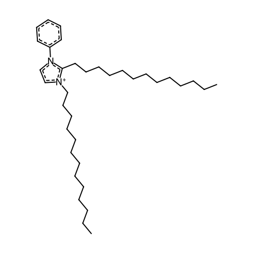 CCCCCCCCCCCCCc1n(-c2ccccc2)cc[n+]1CCCCCCCCCCCCC